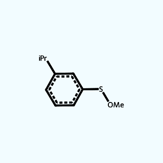 COSc1cccc(C(C)C)c1